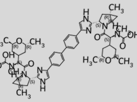 C[C@@H]1CC([C@@H](C(=O)N2[C@H](c3nc(-c4ccc(-c5ccc(-c6c[nH]c([C@@H]7C[C@@]8(C)C[C@H]8N7C(=O)[C@H](C7C[C@@H](C)O[C@H](C)C7)N(C)C(=O)O)n6)cc5)cc4)c[nH]3)C[C@@]3(C)C[C@@H]23)N(C)C(=O)O)C[C@@H](C)O1